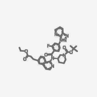 CCOC(=O)CCc1ccc2c(N(C(=O)c3ccc(-n4nnc5cccnc54)cc3F)[C@@H]3CCCN(C(=O)OC(C)(C)C)C3)nccc2c1